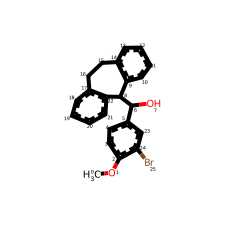 COc1ccc(C(O)C2c3ccccc3CCc3ccccc32)cc1Br